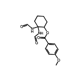 COc1ccc(C(=O)O[C]2CCCCC2(NC=O)NC=O)cc1